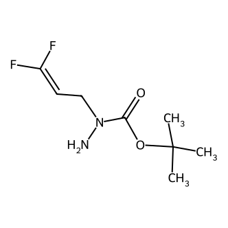 CC(C)(C)OC(=O)N(N)CC=C(F)F